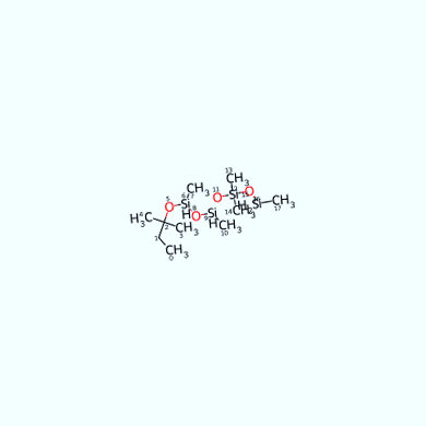 CCC(C)(C)O[SiH](C)O[SiH](C)O[Si](C)(C)O[SiH2]C